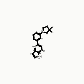 CC1(C)CCN(c2cccc(-c3cnc4[nH]ccc4n3)c2)C1